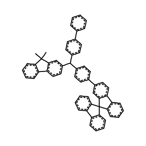 CC1(C)c2ccccc2-c2ccc(C(c3ccc(-c4ccccc4)cc3)c3ccc(-c4ccc5c(c4)C4(c6ccccc6-c6ccccc64)c4ccccc4-5)cc3)cc21